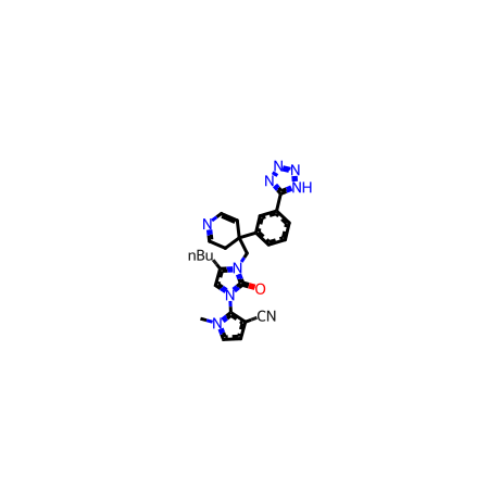 CCCCc1cn(-c2c(C#N)ccn2C)c(=O)n1CC1(c2cccc(-c3nnn[nH]3)c2)C=CN=CC1